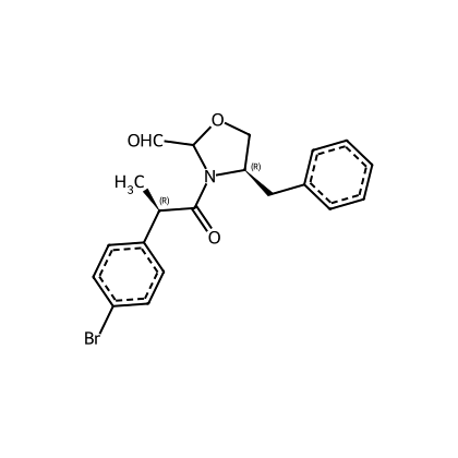 C[C@@H](C(=O)N1C(C=O)OC[C@H]1Cc1ccccc1)c1ccc(Br)cc1